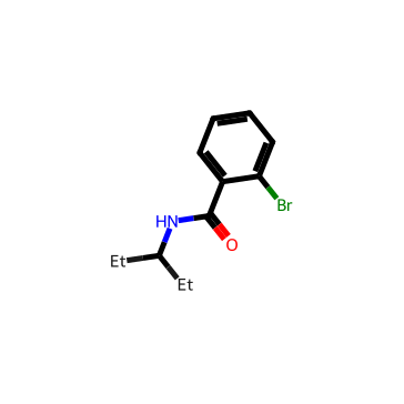 CCC(CC)NC(=O)c1ccccc1Br